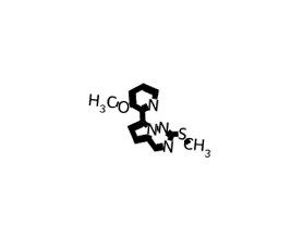 COc1cccnc1-c1ccc2cnc(SC)nn12